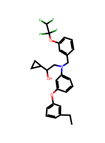 CCc1cccc(Oc2cccc(N(Cc3cccc(OC(F)(F)C(F)F)c3)CC(O)C3CC3)c2)c1